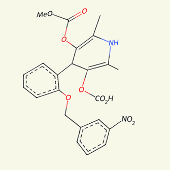 COC(=O)OC1=C(C)NC(C)=C(OC(=O)O)C1c1ccccc1OCc1cccc([N+](=O)[O-])c1